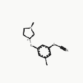 Cc1cc(O[C@@H]2CCN(C)C2)cc(SC#N)c1